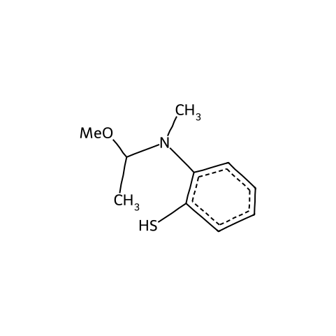 COC(C)N(C)c1ccccc1S